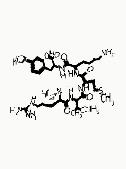 CSCCC(NC(=O)C(NC(=O)C(N)CCCNC(=N)N)C(C)C)C(=O)NC(CCCCN)C(=O)NC(Cc1ccc(O)cc1)C(=O)O